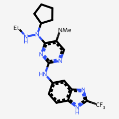 CCNN(c1nc(Nc2ccc3[nH]c(C(F)(F)F)nc3c2)ncc1NC)C1CCCC1